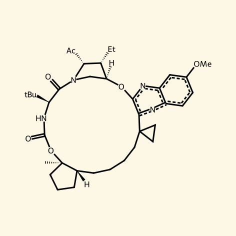 CC[C@@H]1[C@@H]2CN(C(=O)[C@H](C(C)(C)C)NC(=O)O[C@]3(C)CCC[C@H]3CCCCC3(CC3)c3nc4ccc(OC)cc4nc3O2)[C@@H]1C(C)=O